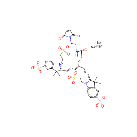 CC1(C)C(=CC=CC(=CC=CC2=[N+](CCS(=O)(=O)[O-])c3ccc(S(=O)(=O)[O-])cc3C2(C)C)CCC(=O)NCCN2C(=O)C=CC2=O)N(CCS(=O)(=O)[O-])c2ccc(S(=O)(=O)[O-])cc21.[Na+].[Na+].[Na+]